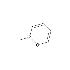 CP1C=CC=CO1